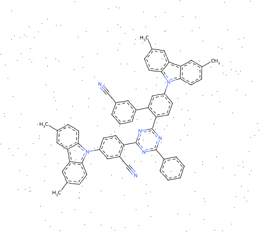 Cc1ccc2c(c1)c1cc(C)ccc1n2-c1ccc(-c2nc(-c3ccccc3)nc(-c3ccc(-n4c5ccc(C)cc5c5cc(C)ccc54)cc3-c3cccc(C#N)c3)n2)c(C#N)c1